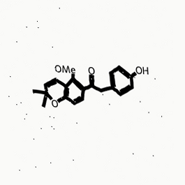 COc1c(C(=O)Cc2ccc(O)cc2)ccc2c1C=CC(C)(C)O2